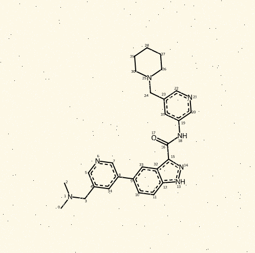 CN(C)Cc1cncc(-c2ccc3[nH]nc(C(=O)Nc4cncc(CN5CCCCC5)c4)c3c2)c1